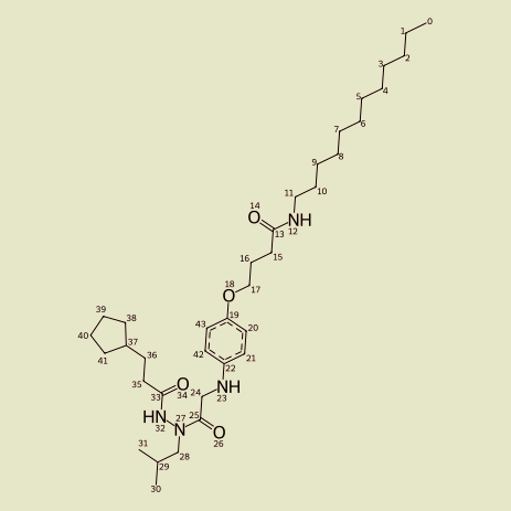 CCCCCCCCCCCCNC(=O)CCCOc1ccc(NCC(=O)N(CC(C)C)NC(=O)CCC2CCCC2)cc1